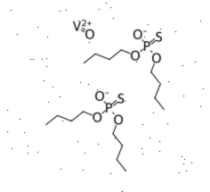 CCCCOP([O-])(=S)OCCCC.CCCCOP([O-])(=S)OCCCC.[O]=[V+2]